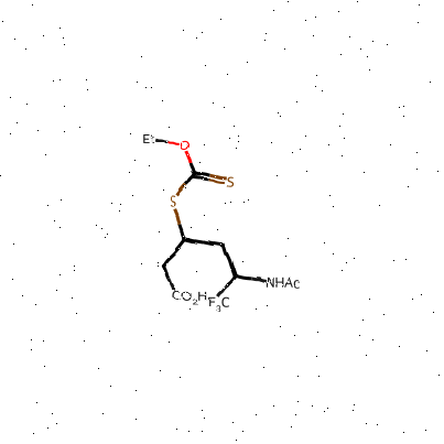 CCOC(=S)SC(CC(=O)O)CC(NC(C)=O)C(F)(F)F